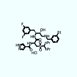 CCCC(CCC)S(=O)(=O)CC(NC(=O)c1cn[nH]c1)C(=O)N[C@@H](Cc1cc(F)cc(F)c1)[C@H](O)CNCc1cccc(CC)c1.Cl